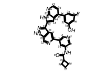 O=C(Nc1cncc(-c2cc3c(-c4cc5c(-c6cc(O)cc(F)c6)ccnc5[nH]4)n[nH]c3cn2)c1)C1CCC1